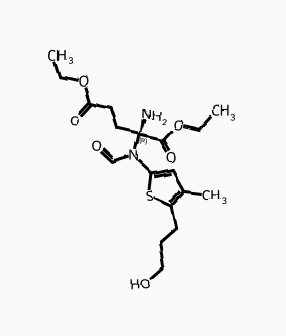 CCOC(=O)CC[C@](N)(C(=O)OCC)N(C=O)c1cc(C)c(CCCO)s1